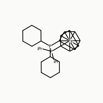 CC(C)P(C(C)C)[C]12[CH]3[CH]4[CH]5[CH]1[Fe]45321678[CH]2[CH]1[CH]6[C]7(P(C1CCCCC1)C1CCCCC1)[CH]28